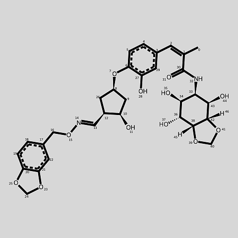 CC(=Cc1ccc(O[C@H]2C[C@@H](O)[C@@H](C=NOCc3ccc4c(c3)OCO4)C2)c(O)c1)C(=O)N[C@@H]1[C@H](O)[C@@H](O)[C@H]2OCO[C@H]2[C@@H]1O